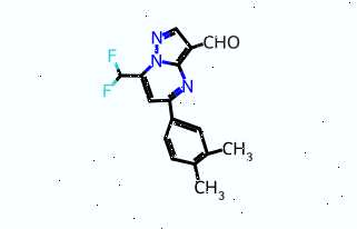 Cc1ccc(-c2cc(C(F)F)n3ncc(C=O)c3n2)cc1C